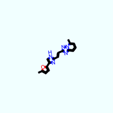 Cc1ccc(-c2c[nH]c(/C=C/c3nc4cccc(C)n4n3)n2)o1